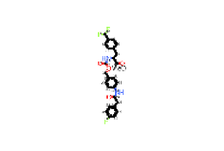 COC(=O)C(Cc1ccc(C(F)F)cc1)NC(=O)OCc1ccc(NC(=O)Cc2ccc(F)cc2)cc1